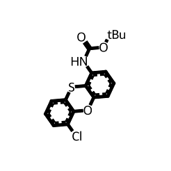 CC(C)(C)OC(=O)Nc1cccc2c1Sc1cccc(Cl)c1O2